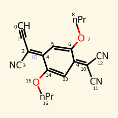 C#C/C(C#N)=c1\cc(OCCC)c(=C(C#N)C#N)cc1OCCC